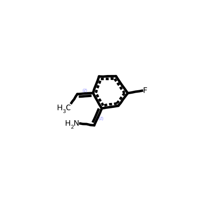 C/C=c1/ccc(F)c/c1=C/N